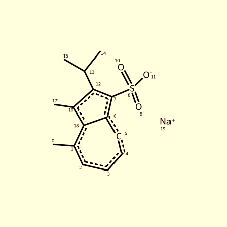 Cc1ccccc2c(S(=O)(=O)[O-])c(C(C)C)c(C)c1-2.[Na+]